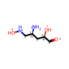 N[C@H](CNO)C[C@@H](O)C=O